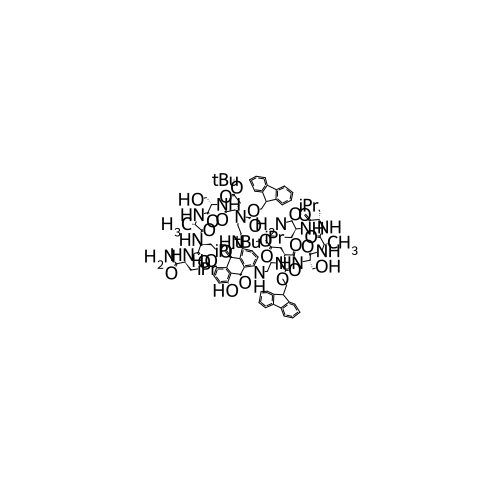 CC(C)C[C@H](NC(=O)[C@H](CC(C)C)NC(=O)[C@H](C)NC(=O)[C@H](CO)NC(=O)[C@H](CC(=O)OC(C)(C)C)N(CCNc1ccc(NCCN(C(=O)OCC2c3ccccc3-c3ccccc32)[C@@H](CC(=O)OC(C)(C)C)C(=O)N[C@@H](CO)C(=O)N[C@@H](C)C(=O)N[C@@H](CC(C)C)C(=O)N[C@@H](CC(C)C)C(N)=O)c2c1C(=O)c1c(O)ccc(O)c1C2=O)C(=O)OCC1c2ccccc2-c2ccccc21)C(N)=O